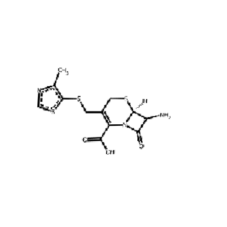 Cc1ncsc1SCC1=C(C(=O)O)N2C(=O)C(N)[C@@H]2SC1